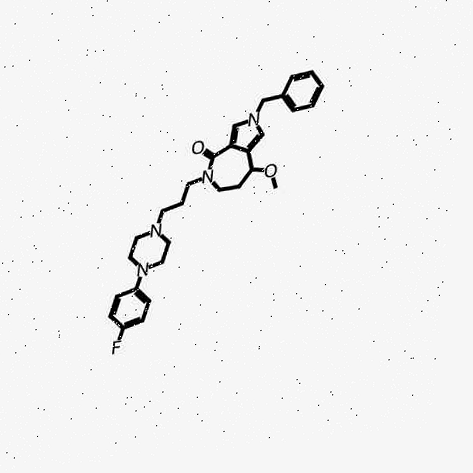 COC1CCN(CCCN2CCN(c3ccc(F)cc3)CC2)C(=O)c2cn(Cc3ccccc3)cc21